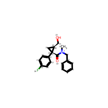 CN(Cc1ccccc1)C(=O)[C@@]1(c2ccc(F)cc2)C[C@H]1CO